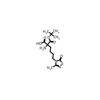 Cc1nsc(=O)n1CCCCC(N)(C(=O)O)C(=O)OC(C)(C)C